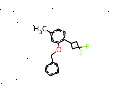 Cc1ccc(C2CC(F)(F)C2)c(OCc2ccccc2)c1